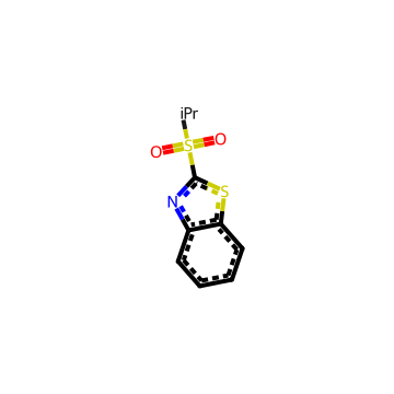 CC(C)S(=O)(=O)c1nc2ccccc2s1